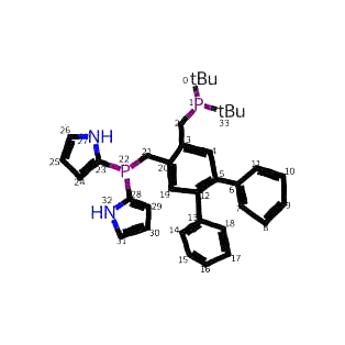 CC(C)(C)P(Cc1cc(-c2ccccc2)c(-c2ccccc2)cc1CP(c1ccc[nH]1)c1ccc[nH]1)C(C)(C)C